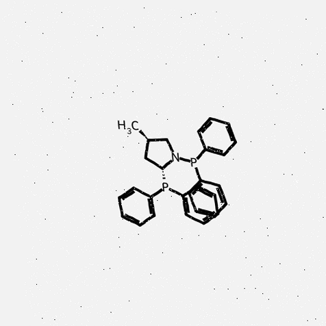 C[C@@H]1C[C@@H](P(c2ccccc2)c2ccccc2)N(P(c2ccccc2)c2ccccc2)C1